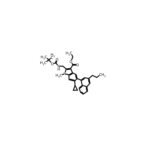 CCCc1cc(-c2cc3c(C(=O)OCC)c(CNC(=O)OC(C)(C)C)n(C)c3cc2C2CC2)c2ccccc2c1